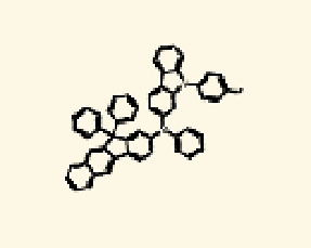 Fc1ccc(-n2c3ccccc3c3ccc(N(c4ccccc4)c4ccc5c(c4)C(c4ccccc4)(c4ccccc4)c4cc6ccccc6cc4-5)cc32)cc1